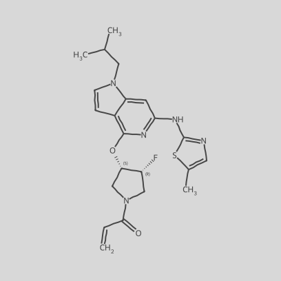 C=CC(=O)N1C[C@@H](F)[C@@H](Oc2nc(Nc3ncc(C)s3)cc3c2ccn3CC(C)C)C1